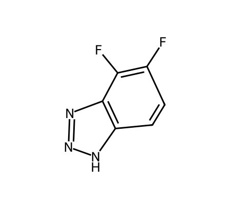 Fc1ccc2[nH]nnc2c1F